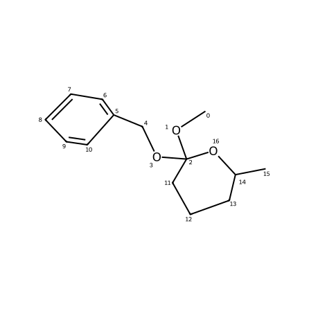 COC1(OCc2ccccc2)CCCC(C)O1